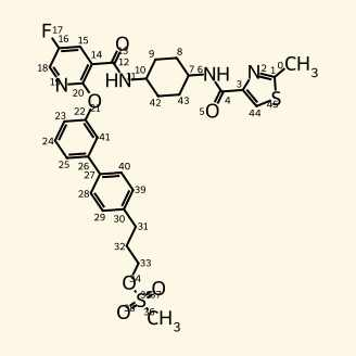 Cc1nc(C(=O)NC2CCC(NC(=O)c3cc(F)cnc3Oc3cccc(-c4ccc(CCCOS(C)(=O)=O)cc4)c3)CC2)cs1